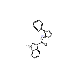 O=C(/N=c1\sccn1-c1ccccc1)c1c[nH]c2ncccc12